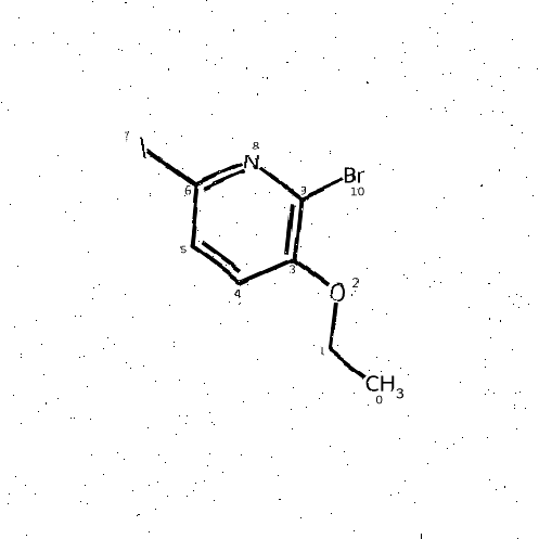 CCOc1ccc(I)nc1Br